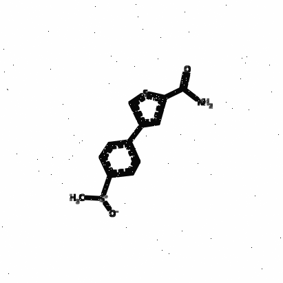 C[S+]([O-])c1ccc(-c2csc(C(N)=O)c2)cc1